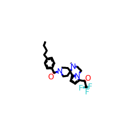 CCCCc1ccc(C(=O)N2CCC3(CC2)c2ccc(C(=O)C(F)(F)F)n2CCN3C)cc1